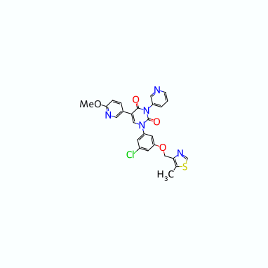 COc1ccc(-c2cn(-c3cc(Cl)cc(OCc4ncsc4C)c3)c(=O)n(-c3cccnc3)c2=O)cn1